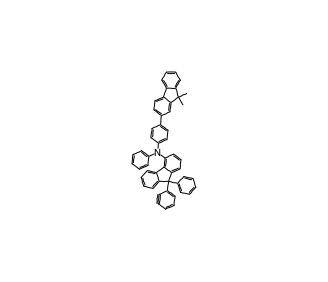 CC1(C)c2ccccc2-c2ccc(-c3ccc(N(c4ccccc4)c4cccc5c4-c4ccccc4C5(c4c#cccc4)c4ccccc4)cc3)cc21